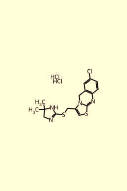 CC1(C)CN=C(SCC2=CSC3=Nc4ccc(Cl)cc4CN23)N1.Cl.Cl